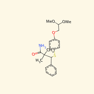 COC(COc1ccc(SC(c2ccccc2)C(C)(C)C(N)=O)cc1)OC